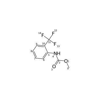 COC(=O)Nc1ccccc1C(F)(F)F